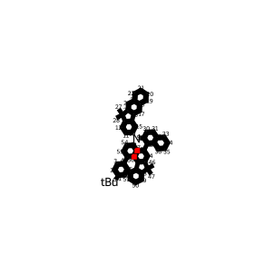 CC(C)(C)c1ccc(-c2ccc(N(c3ccc4c(c3)-c3cc5ccccc5cc3C4(C)C)c3ccc4ccccc4c3-c3ccc4c(c3)C(C)(C)c3ccccc3-4)cc2)cc1